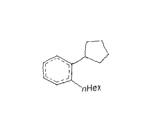 [CH2]CCCCCc1ccccc1C1CCCC1